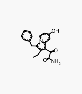 CCc1c(C(=O)C(N)=O)c2cc(O)ccn2c1Cc1ccccc1